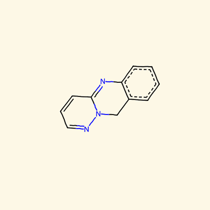 C1=CC2=Nc3ccccc3CN2N=C1